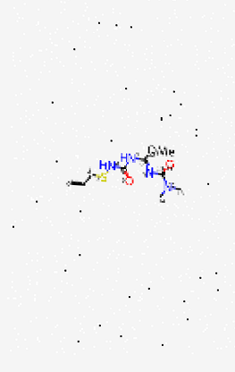 C=CCSNC(=O)NC(=NC(=O)N(C)C)OC